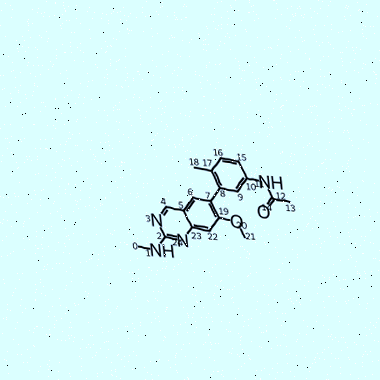 CNc1ncc2cc(-c3cc(NC(C)=O)ccc3C)c(OC)cc2n1